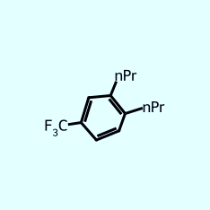 CCCc1ccc(C(F)(F)F)cc1CCC